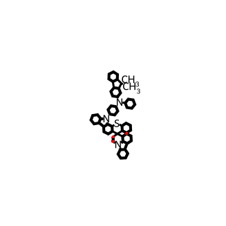 CC1(C)c2ccccc2-c2ccc(N(c3ccccc3)c3ccc(-n4c5ccccc5c5ccc6c(c54)Sc4ccccc4C64c5ccccc5-n5c6ccccc6c6cccc4c65)cc3)cc21